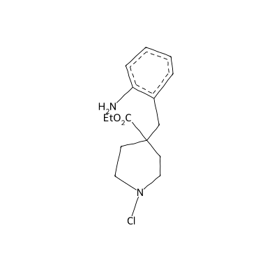 CCOC(=O)C1(Cc2ccccc2N)CCN(Cl)CC1